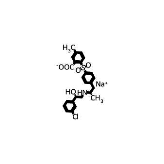 Cc1ccc(S(=O)(=O)c2ccc(C[C@@H](C)NC[C@H](O)c3cccc(Cl)c3)cc2)c(C(=O)[O-])c1.[Na+]